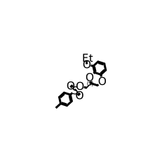 CCOc1cccc2c1O[C@H](COS(=O)(=O)c1ccc(C)cc1)CO2